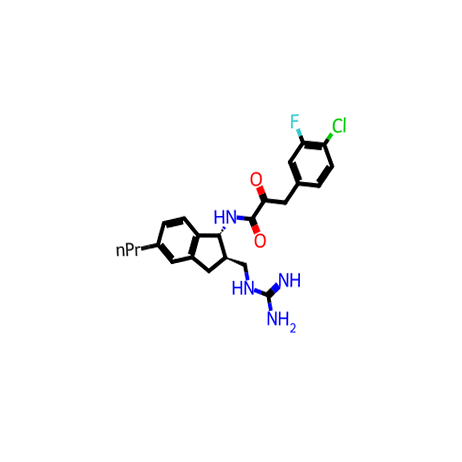 CCCc1ccc2c(c1)C[C@H](CNC(=N)N)[C@H]2NC(=O)C(=O)Cc1ccc(Cl)c(F)c1